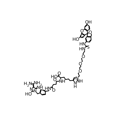 N=C1C(=C(N)N)N=C(O)N1Cc1ccc(CNC(=O)CCC(=O)NC(CCCCC2=CN(CCOCCOCCOCCNC(=S)Nc3ccc4c(c3)C3(OC4)c4ccc(O)cc4Oc4cc(O)ccc43)NN2)C(=O)O)cc1